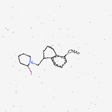 COc1cccc2c1CCCC2CN1CCCCC1I